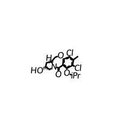 Cc1c(Cl)c2c(c(OC(C)C)c1Cl)C(=O)N1C[C@H](O)C[C@@H]1CO2